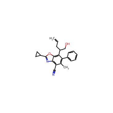 C=CCC(CO)c1c(-c2ccccc2)c(C)c(C#N)c2nc(C3CC3)oc12